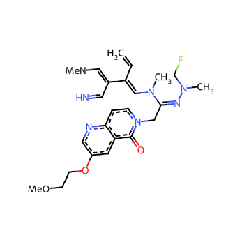 C=CC(=C\N(C)/C(Cn1ccc2ncc(OCCOC)cc2c1=O)=N\N(C)CF)/C(C=N)=C/NC